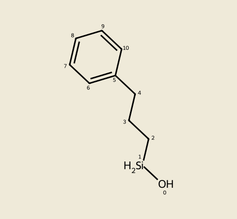 O[SiH2]CCCc1ccccc1